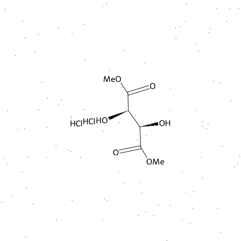 COC(=O)[C@H](O)[C@@H](O)C(=O)OC.Cl.Cl